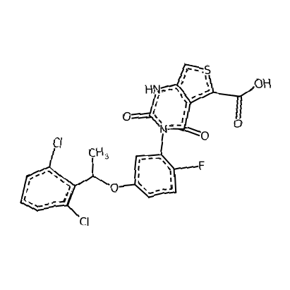 CC(Oc1ccc(F)c(-n2c(=O)[nH]c3csc(C(=O)O)c3c2=O)c1)c1c(Cl)cccc1Cl